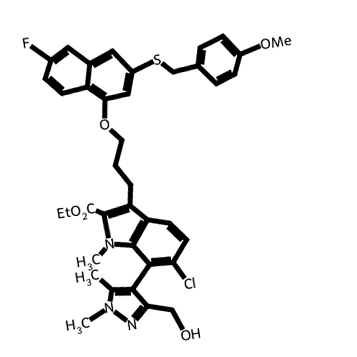 CCOC(=O)c1c(CCCOc2cc(SCc3ccc(OC)cc3)cc3cc(F)ccc23)c2ccc(Cl)c(-c3c(CO)nn(C)c3C)c2n1C